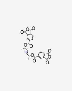 CC(/C=C/C(C)OC(=O)c1ccc2c(c1)C(=O)OC2=O)OC(=O)c1ccc2c(c1)C(=O)OC2=O